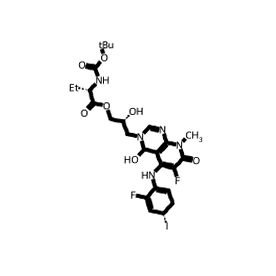 CC[C@H](NC(=O)OC(C)(C)C)C(=O)OC[C@H](O)CN1C=Nc2c(c(NC3=CC[C@H](I)C=C3F)c(F)c(=O)n2C)C1O